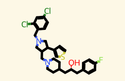 O[C@H](Cc1ccc(F)cc1)CC1CCN(CC2CN(Cc3ccc(Cl)cc3Cl)CC2c2ccsc2)CC1